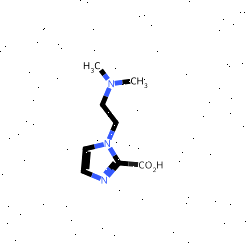 CN(C)CCn1ccnc1C(=O)O